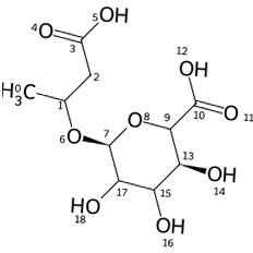 CC(CC(=O)O)O[C@H]1OC(C(=O)O)[C@@H](O)C(O)C1O